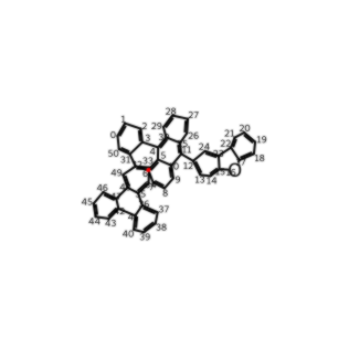 c1ccc(-c2c3ccccc3c(-c3ccc4oc5ccccc5c4c3)c3ccccc23)c(-c2ccc3c4ccccc4c4ccccc4c3c2)c1